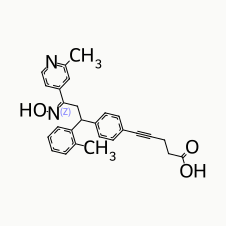 Cc1cc(/C(CC(c2ccc(C#CCCC(=O)O)cc2)c2ccccc2C)=N\O)ccn1